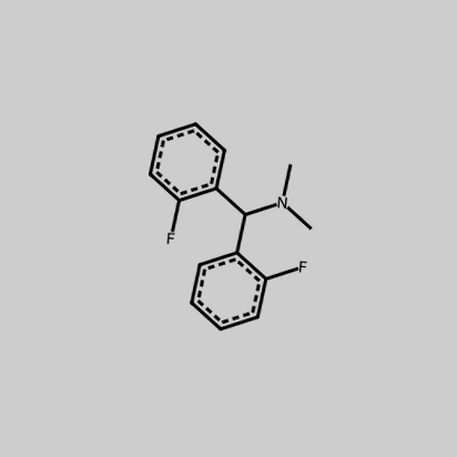 CN(C)C(c1ccccc1F)c1ccccc1F